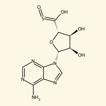 Nc1ncnc2c1ncn2[C@@H]1O[C@H](C(O)=S=O)[C@@H](O)[C@H]1O